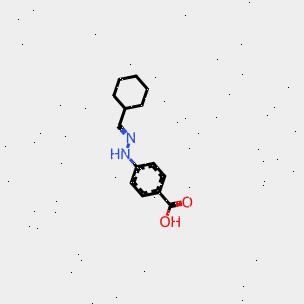 O=C(O)c1ccc(NN=CC2CCCCC2)cc1